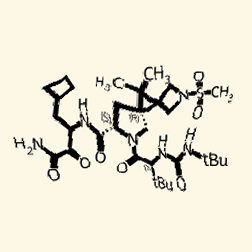 CC(C)(C)NC(=O)N[C@H](C(=O)N1C[C@]2(C[C@H]1C(=O)NC(CC1CCC1)C(=O)C(N)=O)C(C)(C)C21CN(S(C)(=O)=O)C1)C(C)(C)C